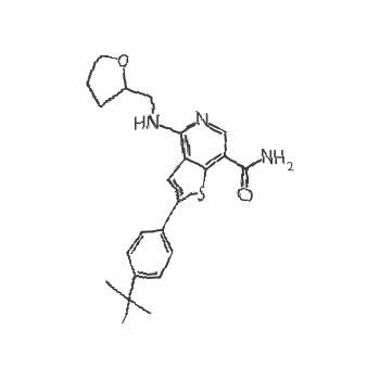 CC(C)(C)c1ccc(-c2cc3c(NCC4CCCO4)ncc(C(N)=O)c3s2)cc1